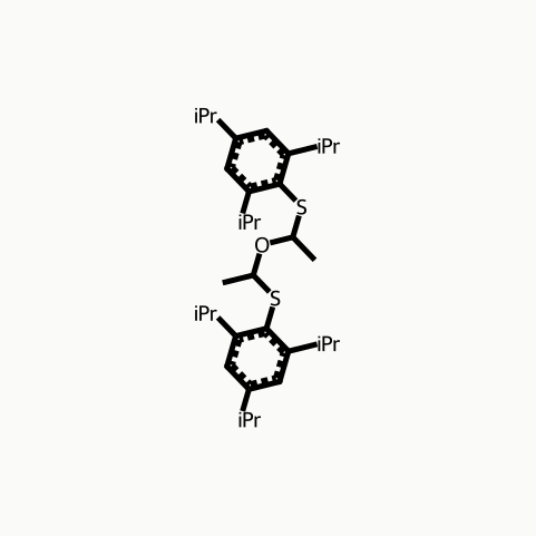 CC(OC(C)Sc1c(C(C)C)cc(C(C)C)cc1C(C)C)Sc1c(C(C)C)cc(C(C)C)cc1C(C)C